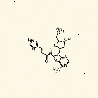 NOCC1OC(n2c(NC(=O)/C=C/c3c[nH]cn3)nc3c(N)ncnc32)CC1O